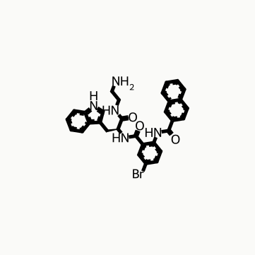 NCCNC(=O)[C@H](Cc1c[nH]c2ccccc12)NC(=O)c1cc(Br)ccc1NC(=O)c1ccc2ccccc2c1